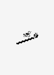 CCCCCCCCCCCCn1ccnc1.C[N+](C)(C)CC(=O)[O-]